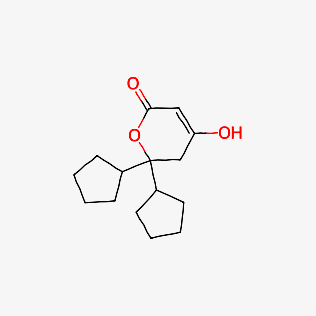 O=C1C=C(O)CC(C2CCCC2)(C2CCCC2)O1